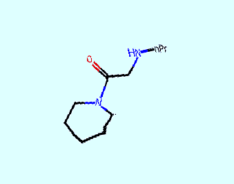 CCCNCC(=O)N1[CH]CCCC1